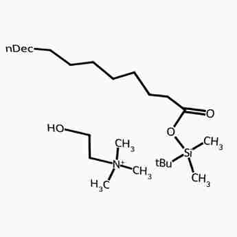 CCCCCCCCCCCCCCCCCC(=O)O[Si](C)(C)C(C)(C)C.C[N+](C)(C)CCO